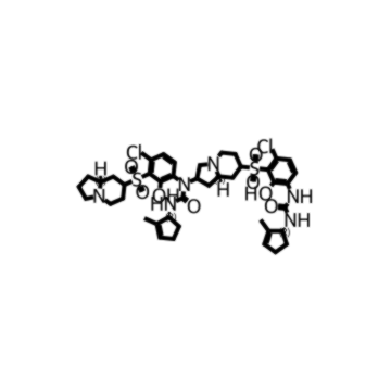 CC1=CCC[C@H]1NC(=O)Nc1ccc(Cl)c(S(=O)(=O)C2CCN3CC(N(C(=O)N[C@@H]4CCC=C4C)c4ccc(Cl)c(S(=O)(=O)C5CCN6CCC[C@@H]6C5)c4O)C[C@H]3C2)c1O